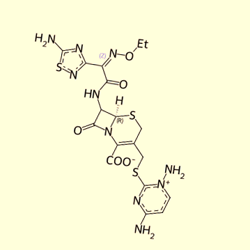 CCO/N=C(\C(=O)NC1C(=O)N2C(C(=O)[O-])=C(CSc3nc(N)cc[n+]3N)CS[C@H]12)c1nsc(N)n1